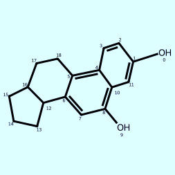 Oc1ccc2c3c(cc(O)c2c1)C1CCCC1CC3